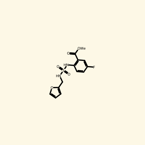 COC(=O)c1cc(F)ccc1NS(=O)(=O)NCc1ccco1